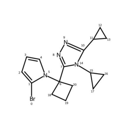 Brc1cccn1C1(c2nnc(C3CC3)n2C2CC2)CCC1